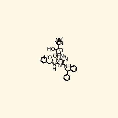 Cn1nnc(C2OC(n3cnc4c(NCC(c5ccccc5)c5ccccc5)nc(NC(CO)Cc5ccccc5)nc43)C(O)C2O)n1